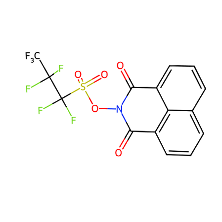 O=C1c2cccc3cccc(c23)C(=O)N1OS(=O)(=O)C(F)(F)C(F)(F)C(F)(F)F